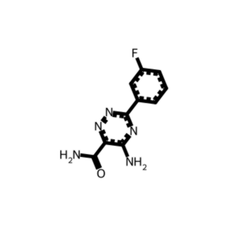 NC(=O)c1nnc(-c2cccc(F)c2)nc1N